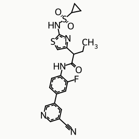 CCC(C(=O)Nc1ccc(-c2cncc(C#N)c2)cc1F)c1csc(NS(=O)(=O)C2CC2)n1